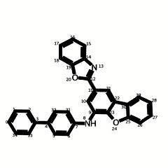 c1ccc(-c2ccc(Nc3cc(-c4nc5ccccc5o4)cc4c3oc3ccccc34)cc2)cc1